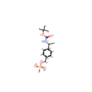 CC(NC(=O)OC(C)(C)C)c1ccc(COS(C)(=O)=O)cc1